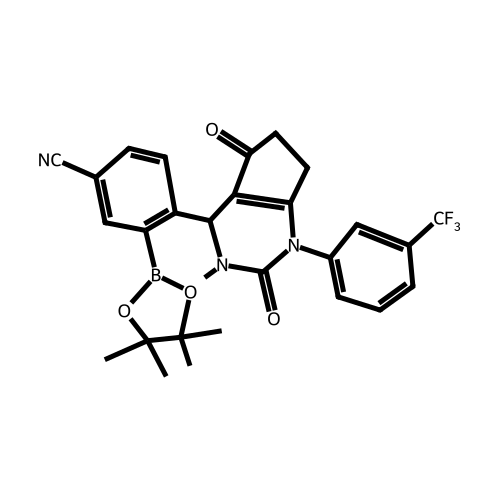 CN1C(=O)N(c2cccc(C(F)(F)F)c2)C2=C(C(=O)CC2)C1c1ccc(C#N)cc1B1OC(C)(C)C(C)(C)O1